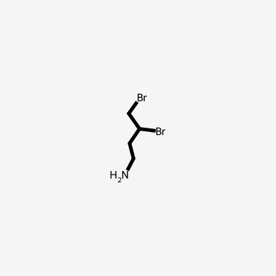 NCCC(Br)CBr